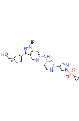 CC(C)n1nc(C2CC[C@@H](CO)C2)c2cnc(Nc3ccnc(-c4cnn(S(=O)(=O)C5CC5)c4)n3)cc21